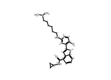 CN(C)CCCCCCNc1ncc(Cl)c(-c2cc3c(C(=O)NC4CC4)cccc3s2)n1